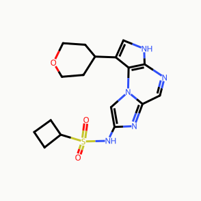 O=S(=O)(Nc1cn2c(cnc3[nH]cc(C4CCOCC4)c32)n1)C1CCC1